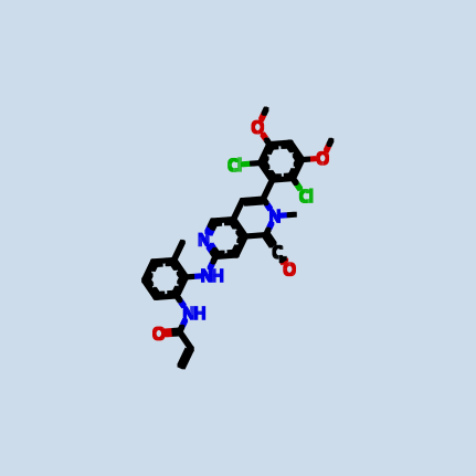 C=CC(=O)Nc1cccc(C)c1Nc1cc2c(cn1)C=C(c1c(Cl)c(OC)cc(OC)c1Cl)N(C)C2=C=O